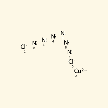 [Cl-].[Cl-].[Cu+2].[N].[N].[N].[N].[N].[N]